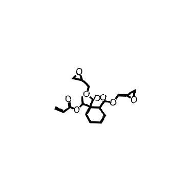 C=CC(=O)OC(C)C1(C(=O)OCC2CO2)CCCCC1C(=O)OCC1CO1